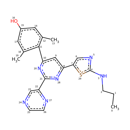 CCCNc1ncc(-c2cc(-c3c(C)cc(O)cc3C)nc(-c3cnccn3)n2)s1